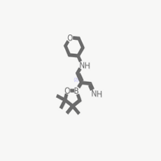 CC1(C)CB(/C(C=N)=C/NC2CCOCC2)OC1(C)C